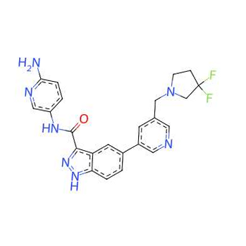 Nc1ccc(NC(=O)c2n[nH]c3ccc(-c4cncc(CN5CCC(F)(F)C5)c4)cc23)cn1